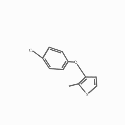 Cc1sccc1Oc1ccc(Cl)cc1